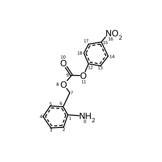 Nc1ccccc1COC(=O)Oc1ccc([N+](=O)[O-])cc1